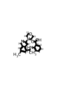 Cc1cc(C(C)Nc2ccccc2C(=O)O)c2cc(N3CCOCC3)ncc2c1